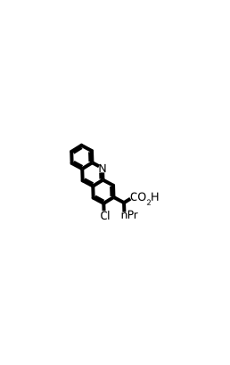 CCCC(C(=O)O)c1cc2nc3ccccc3cc2cc1Cl